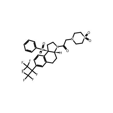 O=C(CN1CCS(=O)(=O)CC1)N1CC[C@@]2(S(=O)(=O)c3ccccc3)c3ccc(C(F)(C(F)(F)F)C(F)(F)F)cc3CC[C@@H]12